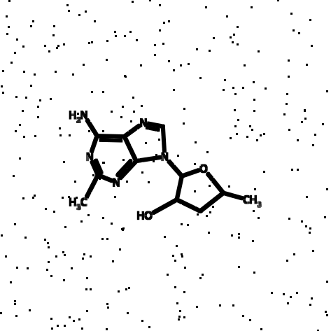 Cc1nc(N)c2ncn(C3OC(C)CC3O)c2n1